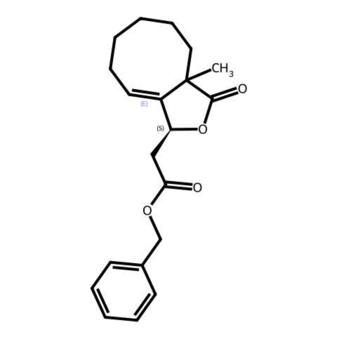 CC12CCCCC/C=C\1[C@H](CC(=O)OCc1ccccc1)OC2=O